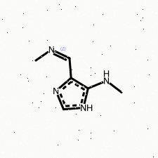 C/N=C\c1nc[nH]c1NC